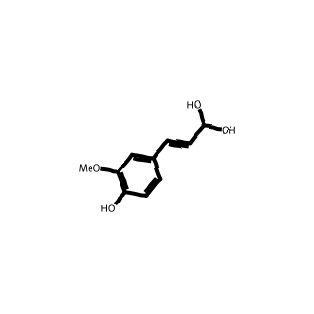 COc1cc(/C=C/C(O)O)ccc1O